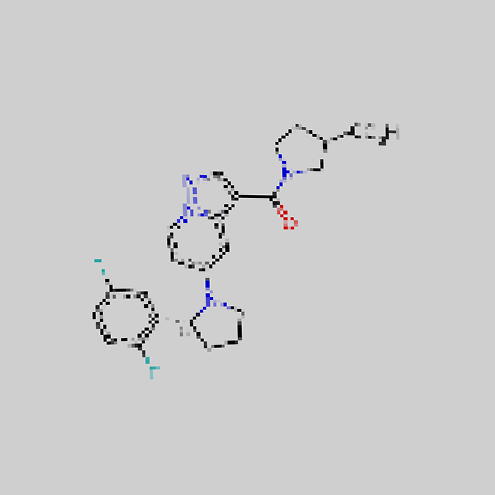 O=C(O)C1CCN(C(=O)c2cnn3ccc(N4CCC[C@@H]4c4cc(F)ccc4F)cc23)C1